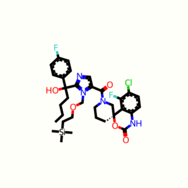 CCCCC(O)(c1ccc(F)cc1)c1ncc(C(=O)N2CCC[C@@]3(C2)OC(=O)Nc2ccc(Cl)c(F)c23)n1COCC[Si](C)(C)C